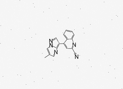 Cc1cnc2c(-c3cc(C#N)nc4ccccc34)cnn2c1